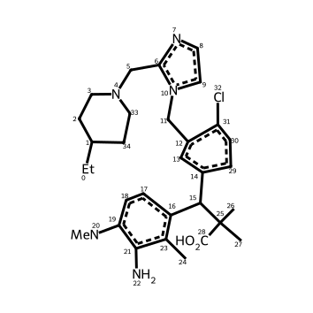 CCC1CCN(Cc2nccn2Cc2cc(C(c3ccc(NC)c(N)c3C)C(C)(C)C(=O)O)ccc2Cl)CC1